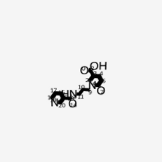 O=C(O)c1ccc(=O)n(CCCNC(=O)c2cccnc2)c1